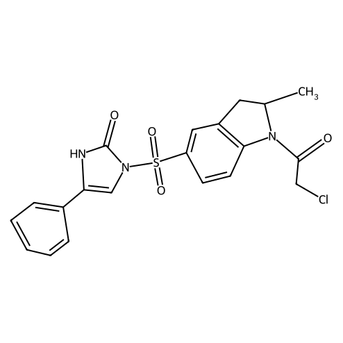 CC1Cc2cc(S(=O)(=O)n3cc(-c4ccccc4)[nH]c3=O)ccc2N1C(=O)CCl